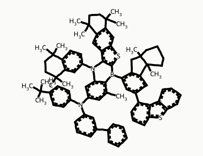 Cc1cc(N(c2ccc(C(C)(C)C)cc2)c2cccc(-c3ccccc3)c2)cc2c1B(c1cc(-c3cccc4sc5ccccc5c34)cc3c1CC1(C)CCCCC31C)c1sc3cc4c(cc3c1N2c1ccc2c(c1)C(C)(C)CCC2(C)C)C(C)(C)CCC4(C)C